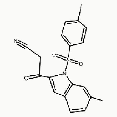 Cc1ccc(S(=O)(=O)n2c(C(=O)CC#N)cc3ccc(C)cc32)cc1